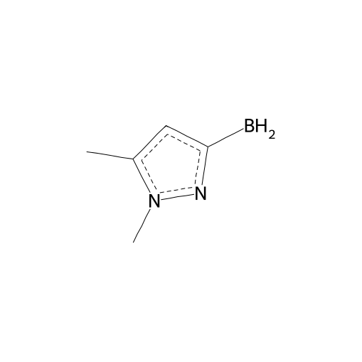 Bc1cc(C)n(C)n1